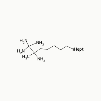 CCCCCCCCCCCCC(C)(N)C(N)(N)N